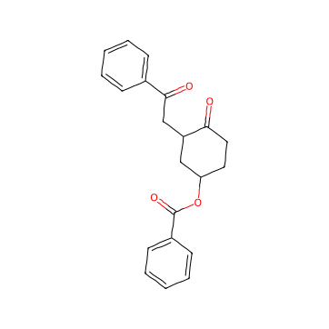 O=C(CC1CC(OC(=O)c2ccccc2)CCC1=O)c1ccccc1